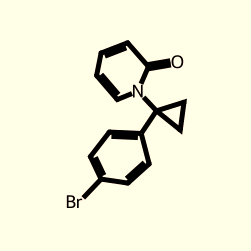 O=c1ccccn1C1(c2ccc(Br)cc2)CC1